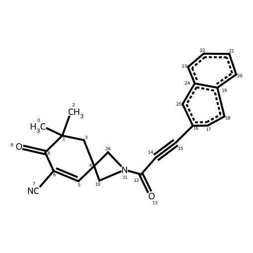 CC1(C)CC2(C=C(C#N)C1=O)CN(C(=O)C#Cc1ccc3ccccc3c1)C2